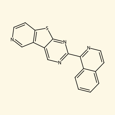 c1ccc2c(-c3ncc4c(n3)sc3ccncc34)nccc2c1